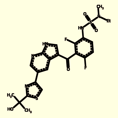 CCN(C)S(=O)(=O)Nc1ccc(F)c(C(=O)c2c[nH]c3ncc(-c4csc(C(C)(C)O)n4)cc23)c1F